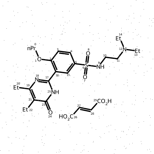 CCCOc1ccc(S(=O)(=O)NCCN(CC)CC)cc1-c1nc(CC)c(CC)c(=O)[nH]1.O=C(O)C=CC(=O)O